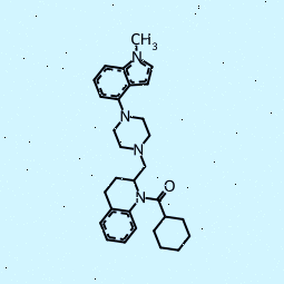 Cn1ccc2c(N3CCN(CC4CCc5ccccc5N4C(=O)C4CCCCC4)CC3)cccc21